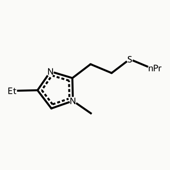 CCCSCCc1nc(CC)cn1C